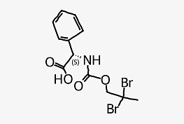 CC(Br)(Br)COC(=O)N[C@H](C(=O)O)c1ccccc1